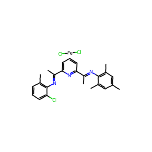 CC(=Nc1c(C)cc(C)cc1C)c1cccc(C(C)=Nc2c(C)cccc2Cl)n1.[Cl][Fe][Cl]